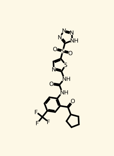 O=C(Nc1ncc(S(=O)(=O)c2nnn[nH]2)s1)Nc1ccc(C(F)(F)F)cc1C(=O)C1CCCC1